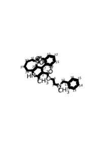 CC1=C(C(=O)OCCN(C)Cc2ccccc2)C(c2c(F)cccc2Cl)C2=C(CCCCS2(=O)=O)N1